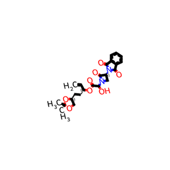 C=C[C@@H](CC[C@H]1COC(C)(C)O1)OC(=O)C(O)N1C[C@H](N2C(=O)c3ccccc3C2=O)C1=O